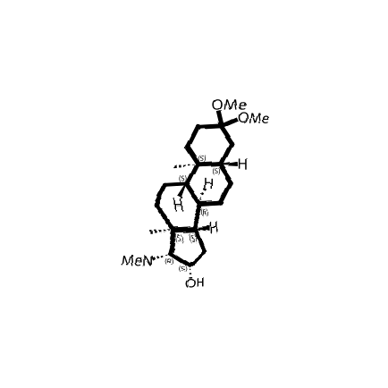 CN[C@H]1[C@@H](O)C[C@H]2[C@@H]3CC[C@H]4CC(OC)(OC)CC[C@]4(C)[C@H]3CC[C@@]21C